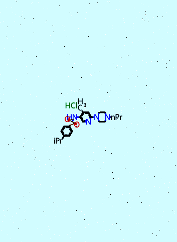 CCCN1CCN(c2cc(C)c(NS(=O)(=O)c3ccc(C(C)C)cc3)cn2)CC1.Cl